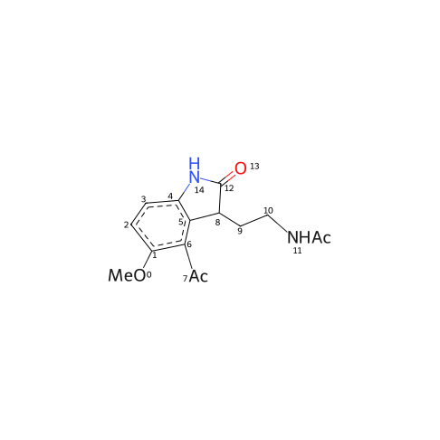 COc1ccc2c(c1C(C)=O)C(CCNC(C)=O)C(=O)N2